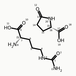 NC(=O)NCCC[C@H](N)C(=O)O.O=C1CC[C@@H](C(=O)O)N1